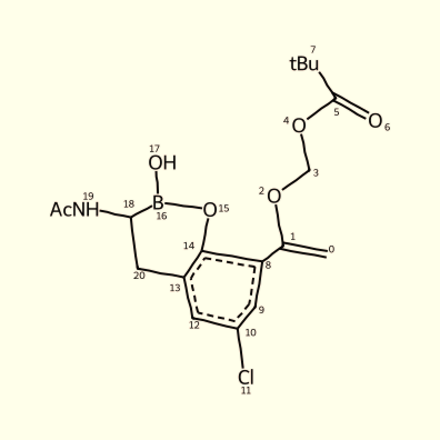 C=C(OCOC(=O)C(C)(C)C)c1cc(Cl)cc2c1OB(O)C(NC(C)=O)C2